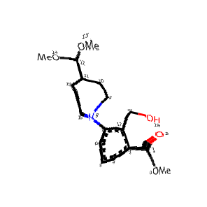 COC(=O)c1cccc(N2CCC(C(OC)OC)CC2)c1CO